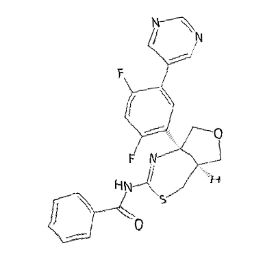 O=C(NC1=N[C@@]2(c3cc(-c4cncnc4)c(F)cc3F)COC[C@H]2CS1)c1ccccc1